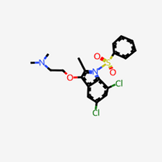 Cc1c(OCCN(C)C)c2cc(Cl)cc(Cl)c2n1S(=O)(=O)c1ccccc1